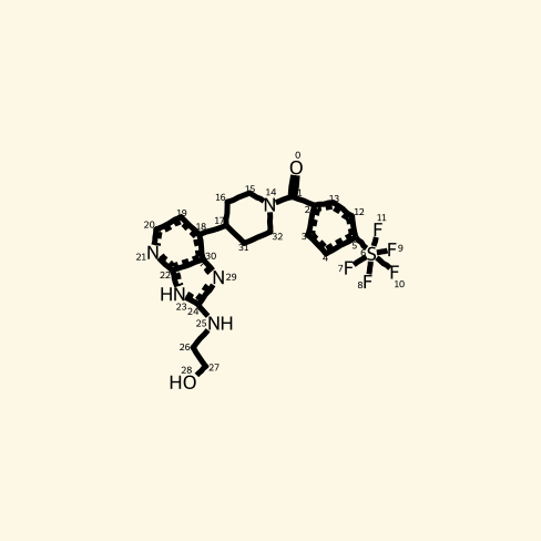 O=C(c1ccc(S(F)(F)(F)(F)F)cc1)N1CCC(c2ccnc3[nH]c(NCCO)nc23)CC1